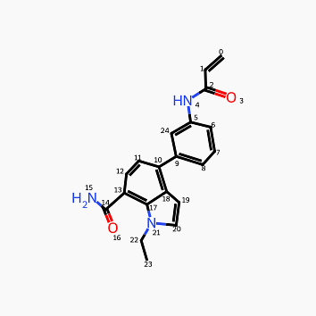 C=CC(=O)Nc1cccc(-c2ccc(C(N)=O)c3c2ccn3CC)c1